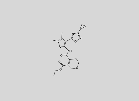 CCOC(=O)C1=C(C(=O)Nc2sc(C)c(C)c2-c2nc(C3CC3)no2)CCOC1